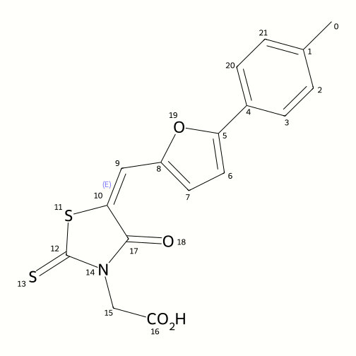 Cc1ccc(-c2ccc(/C=C3/SC(=S)N(CC(=O)O)C3=O)o2)cc1